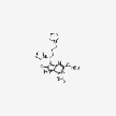 CCCCOc1nc(N)c2[nH]c(=O)n(C(CCCN3CCCC3)N3CCCC3)c2n1